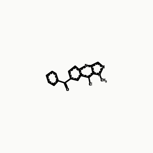 Cn1ncc2nc3ccc(C(=O)c4ccccc4)cc3c(Cl)c21